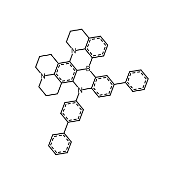 c1ccc(-c2ccc(N3c4ccc(-c5ccccc5)cc4B4c5cccc6c5N(CCC6)c5c6c7c(c3c54)CCCN7CCC6)cc2)cc1